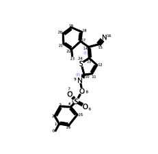 Cc1ccc(S(=O)(=O)O/N=C2C=C/C(=C(\C#N)c3ccccc3C)S\2)cc1